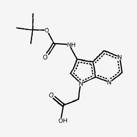 CC(C)(C)OC(=O)Nc1cn(CC(=O)O)c2ncncc12